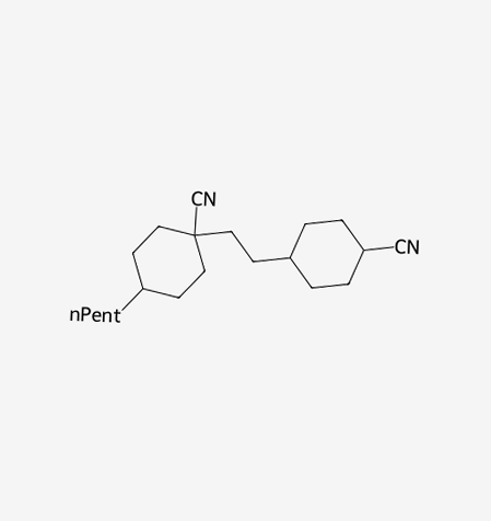 CCCCCC1CCC(C#N)(CCC2CCC(C#N)CC2)CC1